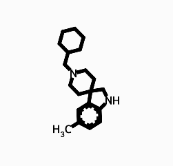 Cc1ccc2c(c1)C1(CCN(CC3CCCCC3)CC1)CN2